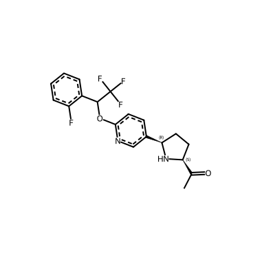 CC(=O)[C@@H]1CC[C@H](c2ccc(OC(c3ccccc3F)C(F)(F)F)nc2)N1